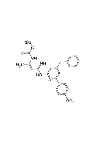 C/C(=C/C(=N)Nc1cc(Cc2ccccc2)cc(-c2ccc(N)cc2)n1)NC(=O)OC(C)(C)C